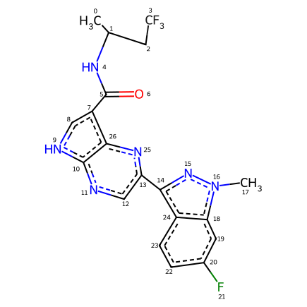 CC(CC(F)(F)F)NC(=O)c1c[nH]c2ncc(-c3nn(C)c4cc(F)ccc34)nc12